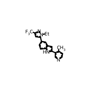 CCn1nc(C(F)(F)F)cc1-c1ccc2[nH]c(-c3cnccc3C)cc2c1